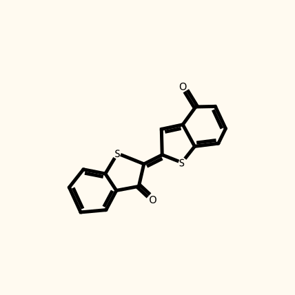 O=C1C(=c2cc3c(s2)=CC=CC3=O)Sc2ccccc21